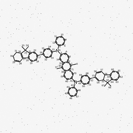 Cc1c2ccc(N(c3ccccc3)c3ccc(-c4ccc5c(c4)C(C)(C)C4=C5C=CCC4)cc3)cc2c(C)c2ccc(N(c3ccccc3)c3ccc(C4=CC5C(C=C4)c4ccccc4C5(C)C)cc3)cc12